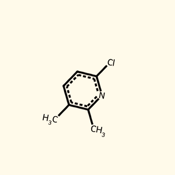 Cc1ccc(Cl)nc1C